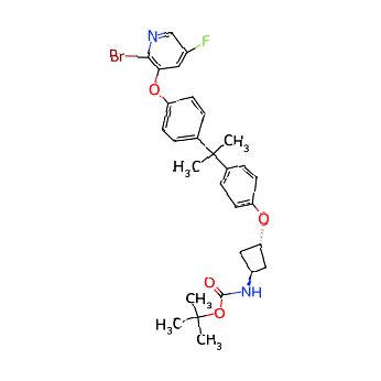 CC(C)(C)OC(=O)N[C@H]1C[C@H](Oc2ccc(C(C)(C)c3ccc(Oc4cc(F)cnc4Br)cc3)cc2)C1